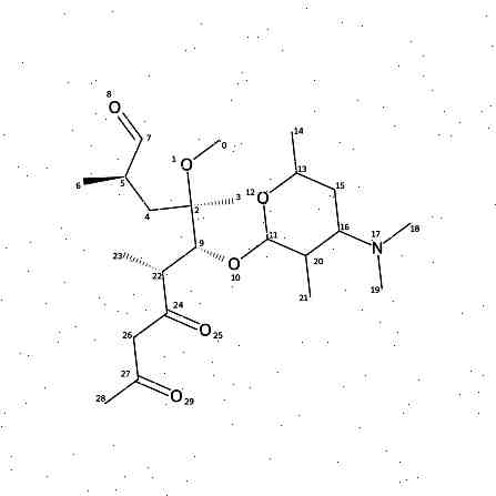 CO[C@](C)(C[C@@H](C)C=O)[C@H](OC1OC(C)CC(N(C)C)C1C)[C@@H](C)C(=O)CC(C)=O